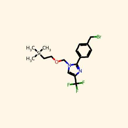 C[Si](C)(C)CCOCn1cc(C(F)(F)F)nc1-c1ccc(CBr)cc1